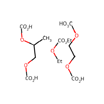 CC(COC(=O)O)OC(=O)O.CCOC(=O)OCC.O=C(O)OCCOC(=O)O